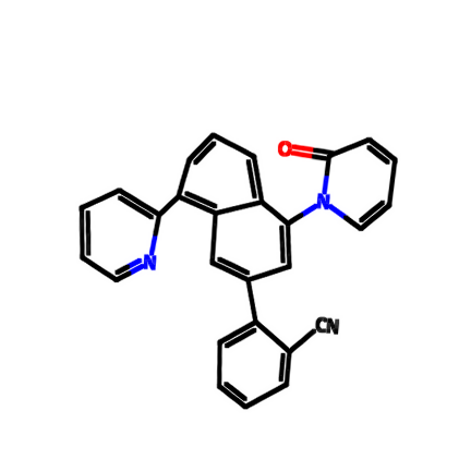 N#Cc1ccccc1-c1cc(-n2ccccc2=O)c2cccc(-c3ccccn3)c2c1